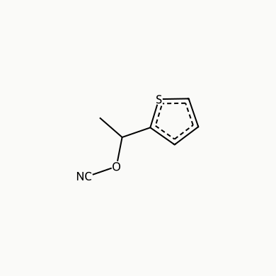 CC(OC#N)c1cccs1